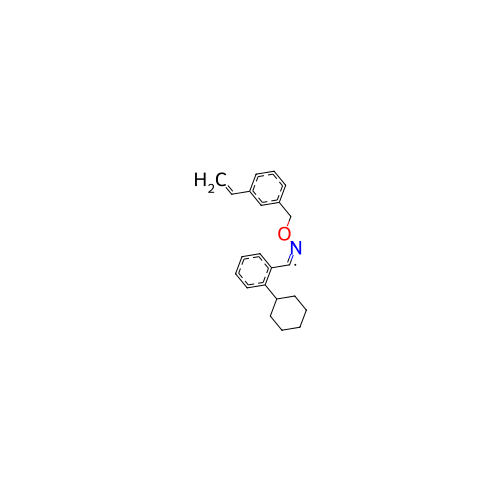 C=Cc1cccc(CO/N=[C]\c2ccccc2C2CCCCC2)c1